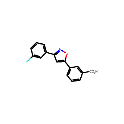 O=C(O)c1cccc(-c2cc(-c3cccc(F)c3)no2)c1